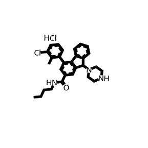 CCCCNC(=O)c1cc(-c2cccc(Cl)c2C)c2c(c1)C(N1CCNCC1)c1ccccc1-2.Cl